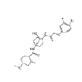 COC1CCC(C(=O)NC23CCC(NC(=O)COc4ccc(Cl)c(F)c4)(CC2)C(O)C3)N(C)C1